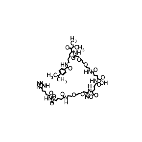 CC(C)C(=O)C(CCCCNC(=O)c1ccc(C(C)C)cc1)NC(=O)COCCOCCNC(=O)CCC(NC(=O)CCC(NC(=O)COCCOCCNC(=O)CCCS(=O)(=O)NC(=O)CCCc1nnn[nH]1)C(=O)O)C(=O)O